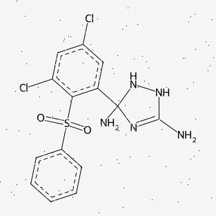 NC1=NC(N)(c2cc(Cl)cc(Cl)c2S(=O)(=O)c2ccccc2)NN1